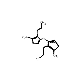 CCCC1=C(C)CC=[C]1[Zr][C]1=CCC(C)=C1CCC